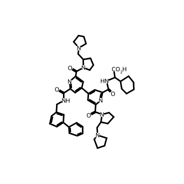 O=C(NCc1cccc(-c2ccccc2)c1)c1cc(-c2cc(C(=O)NC(C(=O)O)C3CCCCC3)nc(C(=O)N3CCCC3CN3CCCC3)c2)cc(C(=O)N2CCCC2CN2CCCC2)n1